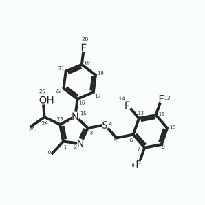 Cc1nc(SCc2c(F)ccc(F)c2F)n(-c2ccc(F)cc2)c1C(C)O